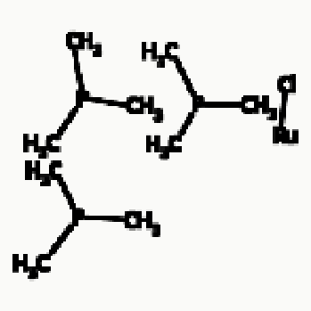 CP(C)C.CP(C)C.CP(C)C.[Cl][Ru]